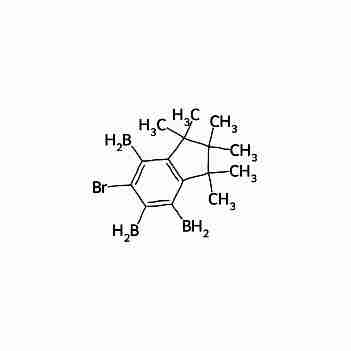 Bc1c(B)c2c(c(B)c1Br)C(C)(C)C(C)(C)C2(C)C